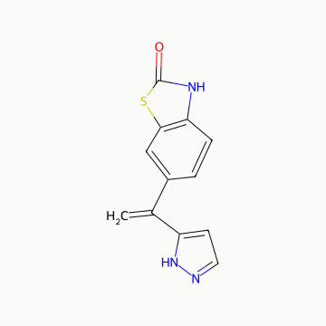 C=C(c1ccc2[nH]c(=O)sc2c1)c1ccn[nH]1